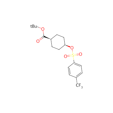 CC(C)(C)OC(=O)[C@H]1CC[C@@H](OS(=O)(=O)c2ccc(C(F)(F)F)cc2)CC1